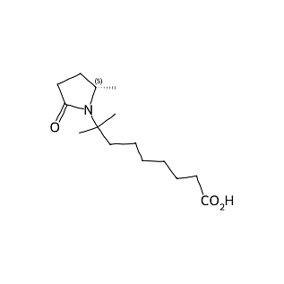 C[C@H]1CCC(=O)N1C(C)(C)CCCCCCC(=O)O